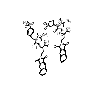 CC(C)C[C@H](NC(CCN1C(=O)c2cc3ccccc3cc2C1=O)C(=O)O)C(=O)NCc1ccc(S(N)(=O)=O)cc1.CC(C)C[C@H](N[C@H](CCN1C(=O)c2cc3ccccc3cc2C1=O)C(=O)O)C(=O)NC1CCS(=O)(=O)C1